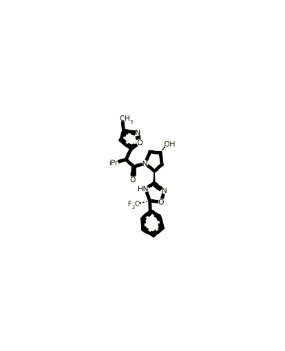 Cc1cc(C(C(=O)N2C[C@H](O)C[C@H]2C2=NO[C@](c3ccccc3)(C(F)(F)F)N2)C(C)C)on1